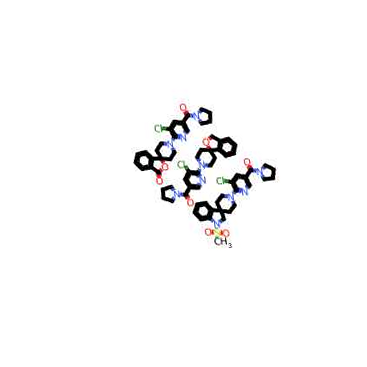 CS(=O)(=O)N1CC2(CCN(c3ncc(C(=O)N4CCCC4)cc3Cl)CC2)c2ccccc21.O=C(c1cnc(N2CCC3(CC2)OCc2ccccc23)c(Cl)c1)N1CCCC1.O=C1OC2(CCN(c3ncc(C(=O)N4CCCC4)cc3Cl)CC2)c2ccccc21